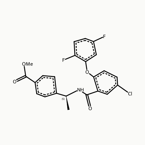 COC(=O)c1ccc([C@H](C)NC(=O)c2cc(Cl)ccc2Oc2cc(F)ccc2F)cc1